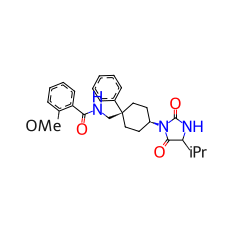 COc1ccccc1C(=O)NC[C@]1(c2ccccc2)CC[C@H](N2C(=O)NC(C(C)C)C2=O)CC1